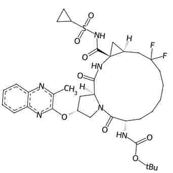 Cc1nc2ccccc2nc1O[C@@H]1C[C@H]2C(=O)N[C@]3(C(=O)NS(=O)(=O)C4CC4)C[C@H]3CC(F)(F)CCCCC[C@H](NC(=O)OC(C)(C)C)C(=O)N2C1